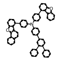 c1ccc(-c2ccc(-c3ccc(N(c4ccc(-c5cccc6oc7ccccc7c56)cc4)c4ccc(-c5cccc6oc7c8ccccc8ccc7c56)cc4)cc3)cc2-c2ccccc2)cc1